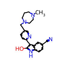 CN1CCCN(Cc2ccc(-c3c(O)[nH]c4ccc(C#N)cc34)nc2)CC1